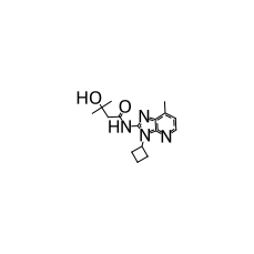 Cc1ccnc2c1nc(NC(=O)CC(C)(C)O)n2C1CCC1